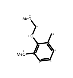 [CH2]c1cccc(OC)c1OCOC